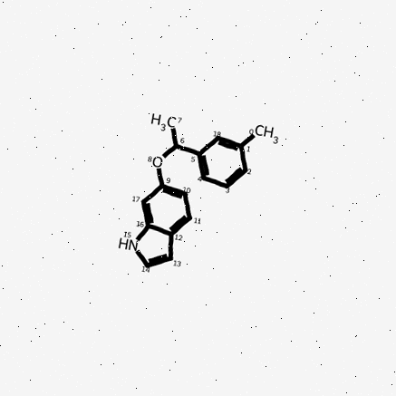 Cc1cccc(C(C)Oc2ccc3cc[nH]c3c2)c1